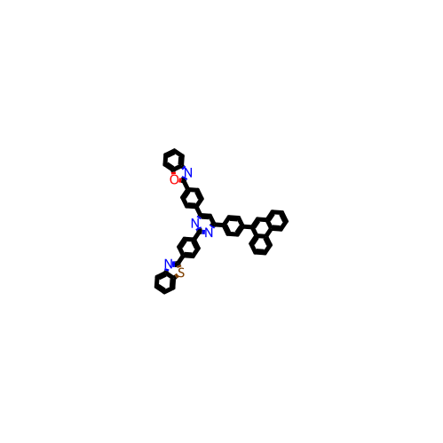 c1ccc2c(c1)cc(-c1ccc(-c3cc(-c4ccc(-c5nc6ccccc6o5)cc4)nc(-c4ccc(-c5nc6ccccc6s5)cc4)n3)cc1)c1ccccc12